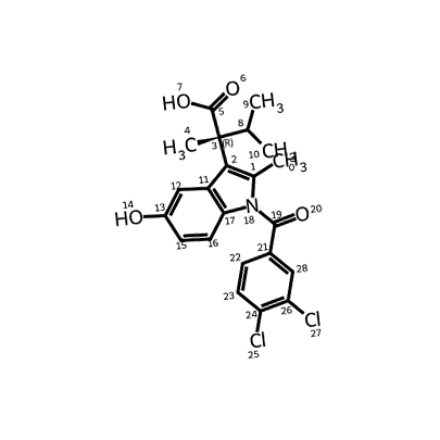 Cc1c([C@](C)(C(=O)O)C(C)C)c2cc(O)ccc2n1C(=O)c1ccc(Cl)c(Cl)c1